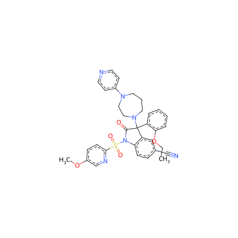 CCOc1ccccc1C1(N2CCCN(c3ccncc3)CC2)C(=O)N(S(=O)(=O)c2ccc(OC)cn2)c2ccc(C#N)cc21